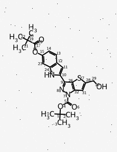 CC(C)(C)OC(=O)n1nc(-c2cc3ccc(OC(=O)C(C)(C)C)cc3[nH]2)c2sc(CO)cc21